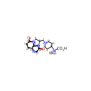 CC(C)(C)N(C(=O)O)C1CCN(CC2Cn3c(=O)ccc4ncc(=O)n2c43)CC1